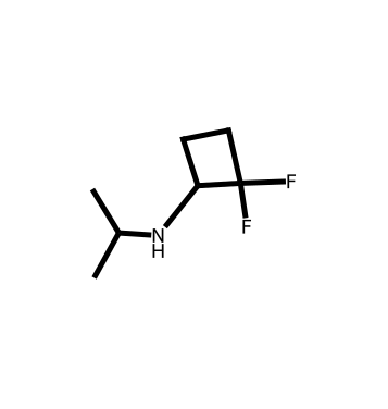 CC(C)NC1CCC1(F)F